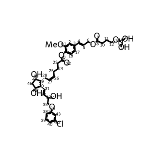 COc1cc(/C=C/COC(=O)CCCON(O)O)ccc1OC(=O)CCC/C=C\C[C@@H]1[C@@H](/C=C/[C@@H](O)COc2cccc(Cl)c2)[C@H](O)C[C@@H]1O